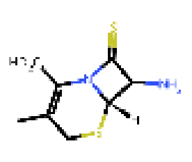 CC1=C(C(=O)O)N2C(=S)[C@@H](N)[C@@H]2SC1